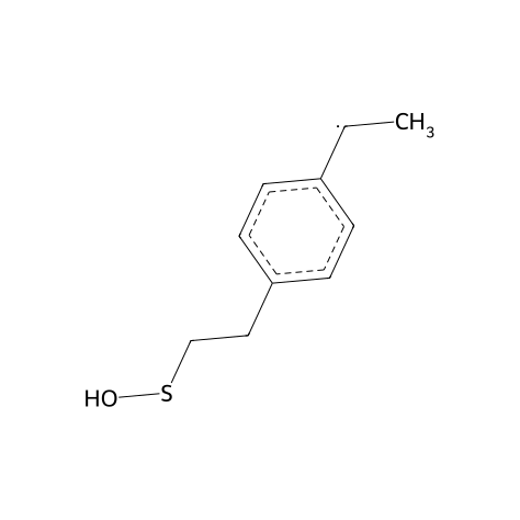 C[CH]c1ccc(CCSO)cc1